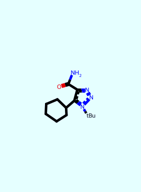 CC(C)(C)n1nnc(C(N)=O)c1C1CCCCC1